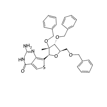 C[C@@]1(OCc2ccccc2)[C@H](OCc2ccccc2)[C@@H](COCc2ccccc2)O[C@H]1c1scc2c(=O)[nH]c(N)nc12